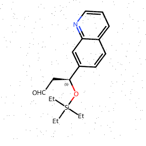 CC[Si](CC)(CC)O[C@@H](CC=O)c1ccc2cccnc2c1